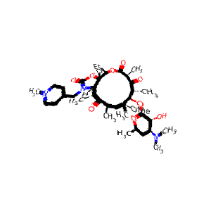 CC[C@H]1OC(=O)[C@H](C)C(=O)[C@H](C)[C@@H](O[C@@H]2O[C@H](C)C[C@H](N(C)C)[C@H]2O)[C@](C)(OC)C[C@@H](C)C(=O)[C@H](C)[C@H]2N(CC3CCN(C)CC3)C(=O)O[C@]12C